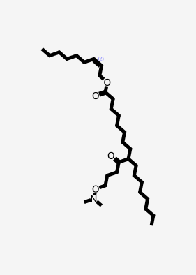 CCCCCC/C=C\COC(=O)CCCCCCCC(CCCCCCCC)C(=O)CCCON(C)C